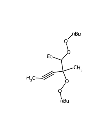 CC#CC(C)(OOCCCC)C(CC)OOCCCC